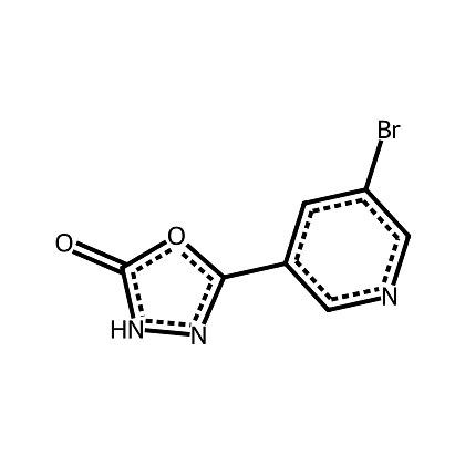 O=c1[nH]nc(-c2cncc(Br)c2)o1